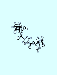 COCC1(COC(=O)N2CCN(C(=O)OCC3(COC)C(=O)C4CCN3CC4)CC2)C(=O)C2CCN1CC2